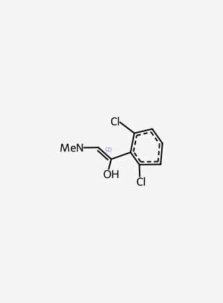 CN/C=C(\O)c1c(Cl)cccc1Cl